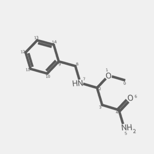 COC(CC(N)=O)NCc1ccccc1